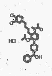 CC(=O)N(C)c1ccc(C2CCN(C(O)c3ccccc3)CC2)c(OC(C)C)c1CCCCc1ccc(Cl)c(Cl)c1.Cl